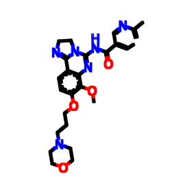 C=C(C)/N=C\C(=C/C)C(=O)NC1=Nc2c(ccc(OCCCN3CCOCC3)c2OC)C2=NCCN12